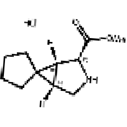 COC(=O)[C@H]1NC[C@H]2[C@@H]1C21CCCC1.Cl